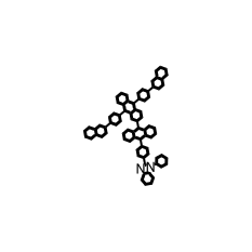 c1ccc(-n2c(-c3ccc(-c4c5ccccc5c(-c5ccc6c(-c7ccc(-c8ccc9ccccc9c8)cc7)c7ccccc7c(-c7ccc(-c8ccc9ccccc9c8)cc7)c6c5)c5ccccc45)cc3)nc3ccccc32)cc1